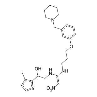 Cc1ccsc1C(O)CNC(=C[N+](=O)[O-])NCCCOc1cccc(CN2CCCCC2)c1